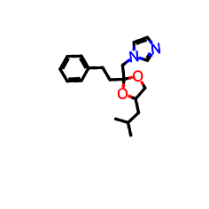 CC(C)CC1COC(CCc2ccccc2)(Cn2ccnc2)O1